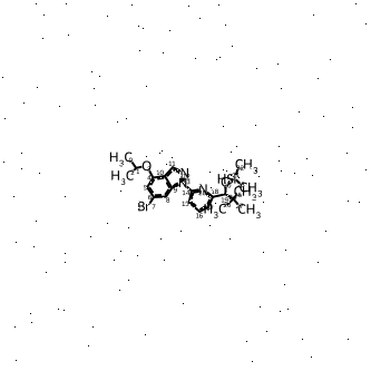 CC(C)Oc1cc(Br)cc2c1cnn2-c1cccc(C(O[SiH](C)C)C(C)(C)C)n1